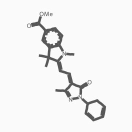 COC(=O)c1ccc2c(c1)C(C)(C)/C(=C/C=C1/C(=O)N(C3C=CC=CC3)N=C1C)N2C